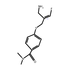 CN(C)C(=O)c1ccc(SC/C(=C/F)CN)cc1